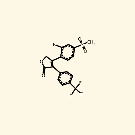 CS(=O)(=O)c1ccc(C2=C(c3ccc(C(F)(F)F)cc3)C(=O)OC2)c(F)c1